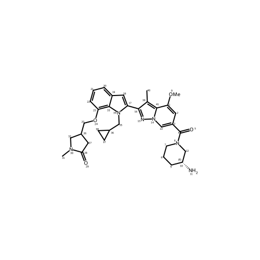 COc1cc(C(=O)N2CCC[C@@H](N)C2)cn2nc(-c3cc4cccc(OCC5CC(=O)N(C)C5)c4n3CC3CC3)c(C)c12